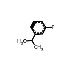 CC(C)c1c#ccc(F)c1